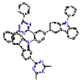 Cc1nc(C)nc(-c2ccc3c4ccccc4n(-c4ccc(-c5ccc6c(c5)c5ccccc5n6-c5ccccc5)cc4-c4nc(-c5ccccc5)nc(-c5ccccc5)n4)c3c2)n1